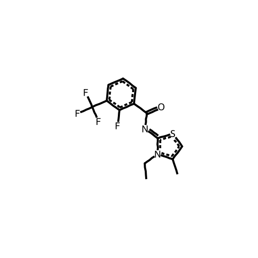 CCn1c(C)cs/c1=N\C(=O)c1cccc(C(F)(F)F)c1F